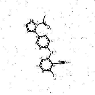 CC(=O)n1nccc1-c1ccc(Oc2cccc(Cl)c2C#N)cc1